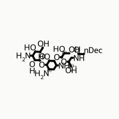 CCCCCCCCCCCC(=O)NCC(OC(OC1C(N)C[C@H](N)C(OC2OC(CO)C(O)C(N)C2O)C1O)[C@@H](O)CO)[C@H](C)O